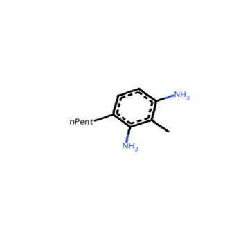 CCCCCc1ccc(N)c(C)c1N